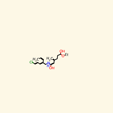 C=C(/C=C(/O)NCC(/C=C\C)=C/C=C/Cl)CCC(O)OCC